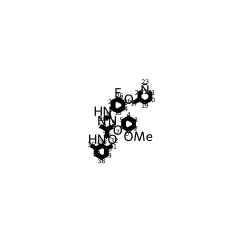 COc1ccccc1Oc1nc(Nc2ccc(OCC3CCCN(C)C3)c(F)c2)ncc1C(=O)Nc1c(C)cccc1C